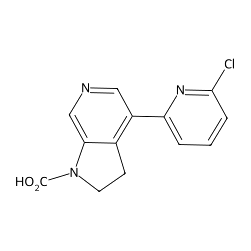 O=C(O)N1CCc2c(-c3cccc(Cl)n3)cncc21